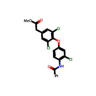 COC(=O)Cc1cc(Cl)c(Oc2ccc(NC(=O)C(C)C)c(Cl)c2)c(Cl)c1